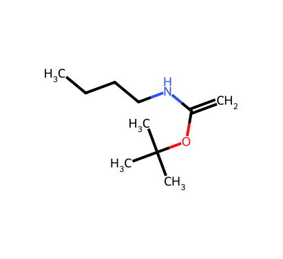 C=C(NCCCC)OC(C)(C)C